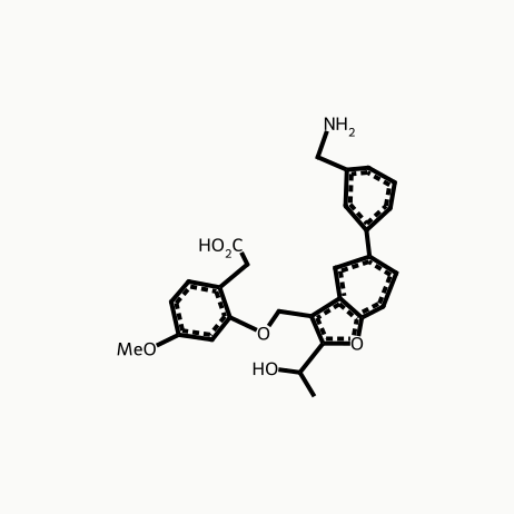 COc1ccc(CC(=O)O)c(OCc2c(C(C)O)oc3ccc(-c4cccc(CN)c4)cc23)c1